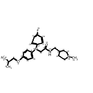 CC(C)COc1ccc(N(CC(=O)NCC2CCN(C)CC2)c2ccc(F)cc2)cc1